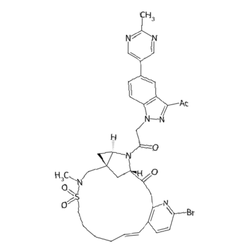 CC(=O)c1nn(CC(=O)N2[C@H]3C[C@]4(C[C@@H]24)CN(C)S(=O)(=O)CCCC/C=C/c2ccc(Br)nc2CC3=O)c2ccc(-c3cnc(C)nc3)cc12